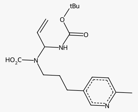 C=CC(NC(=O)OC(C)(C)C)N(CCCc1ccc(C)nc1)C(=O)O